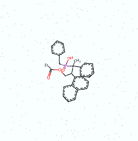 CCC(=O)OCC(c1cccc2ccccc12)C(C)(c1ccccc1)P(=O)(O)Cc1ccccc1